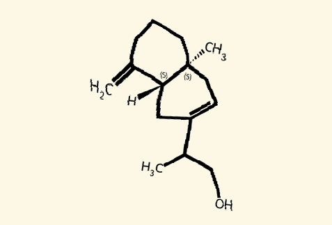 C=C1CCC[C@@]2(C)CC=C(C(C)CO)C[C@H]12